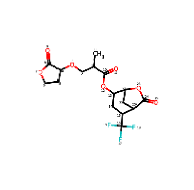 CC(COC1CCOC1=O)C(=O)OC1CC(C(F)(F)F)C2CC1OC2=O